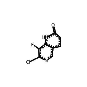 O=c1ccc2cnc(Cl)c(F)c2[nH]1